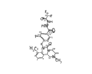 Cc1ccccc1N(Cc1ccc(C(=O)NNC(=O)C(F)F)cc1F)C(=O)N1CCN(C)CC1